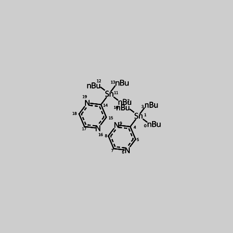 CCC[CH2][Sn]([CH2]CCC)([CH2]CCC)[c]1cnccn1.CCC[CH2][Sn]([CH2]CCC)([CH2]CCC)[c]1cnccn1